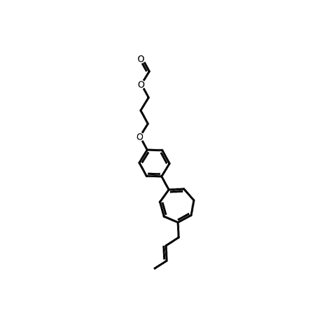 C/C=C/CC1=CCC=C(c2ccc(OCCCOC=O)cc2)C=C1